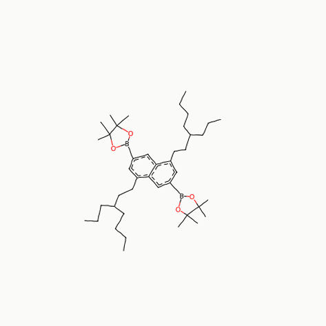 CCCCC(CCC)CCc1cc(B2OC(C)(C)C(C)(C)O2)cc2c(CCC(CCC)CCCC)cc(B3OC(C)(C)C(C)(C)O3)cc12